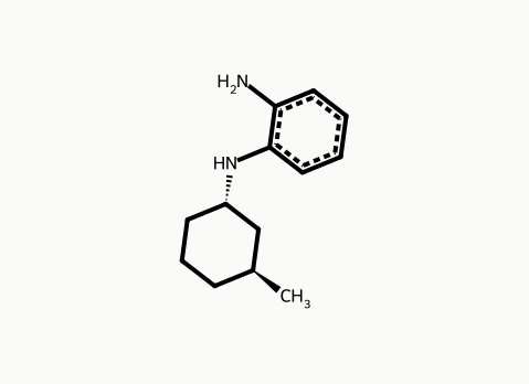 C[C@H]1CCC[C@H](Nc2ccccc2N)C1